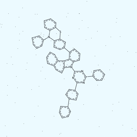 c1ccc(-c2ccc(-c3nc(-c4ccccc4)nc(-n4c5cccc(-c6ccc7c(c6)Sc6ccccc6N7c6ccccc6)c5c5c6ccccc6ccc54)n3)cc2)cc1